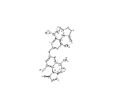 Cc1cc(Cc2cc(C)c(N3C(=O)CCC3=O)c(C(C)C)c2)cc(C(C)C)c1N1C(=O)C=CC1=O